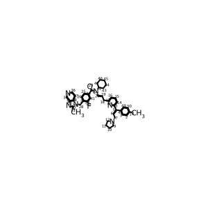 Cc1ccc(C(=CCN2CCCC2)c2cccc(CC=CN(C(=O)c3ccc(Cn4c(C)nc5cnccc54)c(F)c3)C3CCCCC3)n2)cc1